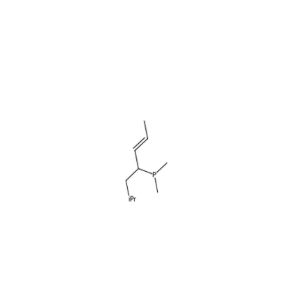 CC=CC(CC(C)C)P(C)C